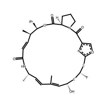 CC1=C\[C@@H](O)C[C@@H](F)Cc2nc(co2)C(=O)N2CCC[C@@H]2C(=O)O[C@H](C(C)C)[C@H](C)/C=C/C(=O)N[C@@H](C)\C=C\1